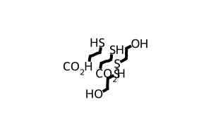 O=C(O)CCS.O=C(O)CCS.OCCSSCCO